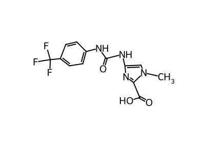 Cn1cc(NC(=O)Nc2ccc(C(F)(F)F)cc2)nc1C(=O)O